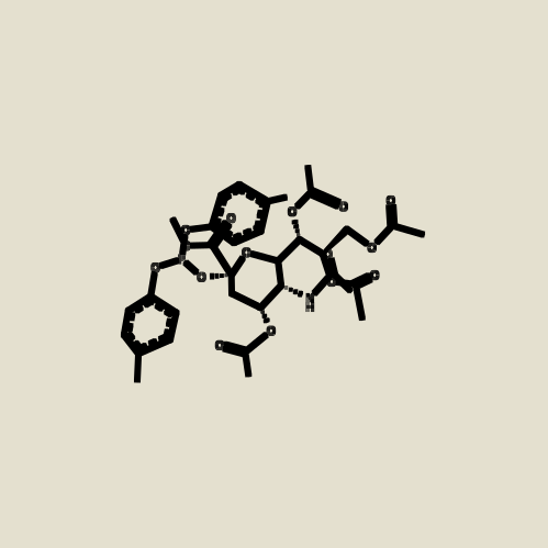 COC(=O)[C@]1(OP(Oc2ccc(C)cc2)Oc2ccc(C)cc2)C[C@@H](OC(C)=O)[C@@H](NC(C)=O)C([C@H](OC(C)=O)[C@@H](COC(C)=O)OC(C)=O)O1